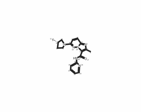 Cc1nc2ccc(N3CC[C@H](F)C3)nn2c1C(=O)Nc1ccccn1